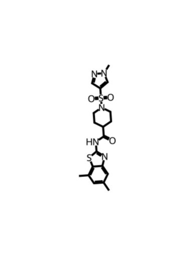 Cc1cc(C)c2sc(NC(=O)C3CCN(S(=O)(=O)c4cnn(C)c4)CC3)nc2c1